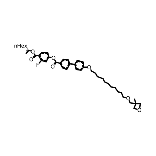 CCCCCC[C@@H](C)OC(=O)c1ccc(OC(=O)c2ccc(-c3ccc(OCCCCCCCCCCCOCC4(C)COC4)cc3)cc2)cc1F